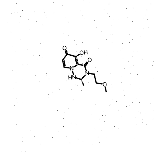 COCCN1C(=O)c2c(O)c(=O)ccn2N[C@@H]1C